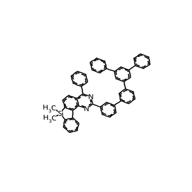 C[Si]1(C)c2ccccc2-c2c1ccc1c(-c3ccccc3)nc(-c3cccc(-c4cccc(-c5cc(-c6ccccc6)cc(-c6ccccc6)c5)c4)c3)nc21